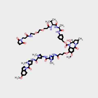 C=C1C[C@H]2[C@H](O)N(C(=O)OCc3ccc(NC(=O)[C@H](C)NC(=O)[C@@H](NC(=O)CCOCCOCCNC(=O)CCN4C(=O)C=CC4=O)C(C)C)cc3)c3cc(OCCCC(=O)Nc4cn(C)c(C(=O)Nc5cc(C(=O)Nc6cc(C(=O)n7ccc8cc(OC)ccc87)n(C)c6)n(C)c5)n4)c(OC)cc3C(=O)N2C1